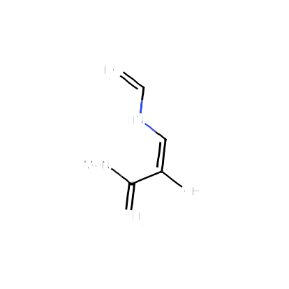 C=CN/C=C(/C)C(=C)NC